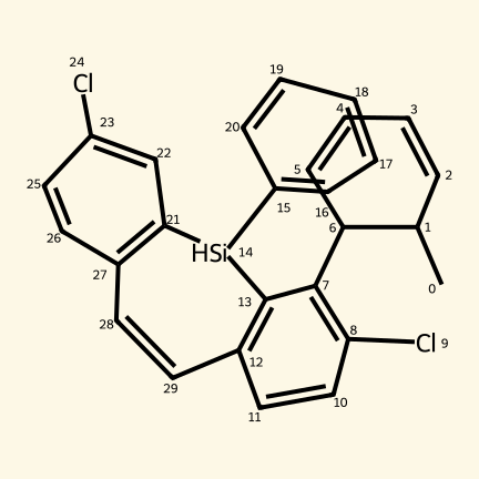 CC1C=CC=CC1c1c(Cl)ccc2c1[SiH](c1ccccc1)c1cc(Cl)ccc1C=C2